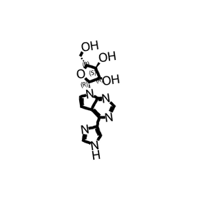 OC[C@H]1O[C@@H](n2ccc3c(-c4c[nH]cn4)ncnc32)[C@H](O)[C@@H]1O